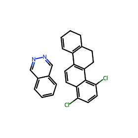 Clc1ccc(Cl)c2c3c(ccc12)C1=C(CCC=C1)CC3.c1ccc2cnncc2c1